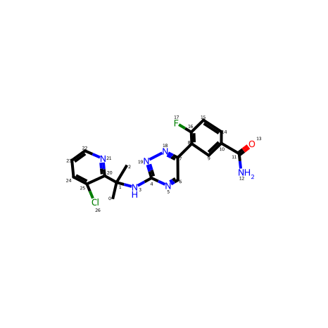 CC(C)(Nc1ncc(-c2cc(C(N)=O)ccc2F)nn1)c1ncccc1Cl